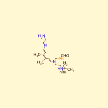 CCCCC(C)(C)NCCN(/C=C/C(C)=C(C)\C=C\N=C\CN)CPC=O